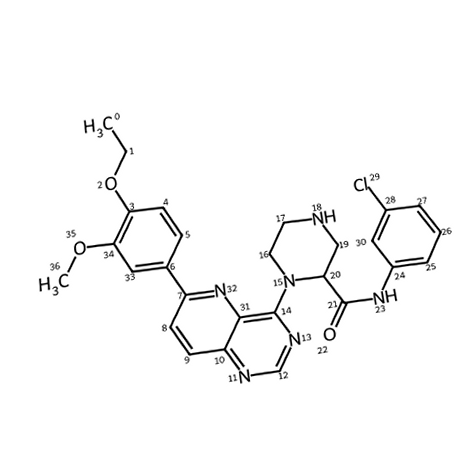 CCOc1ccc(-c2ccc3ncnc(N4CCNCC4C(=O)Nc4cccc(Cl)c4)c3n2)cc1OC